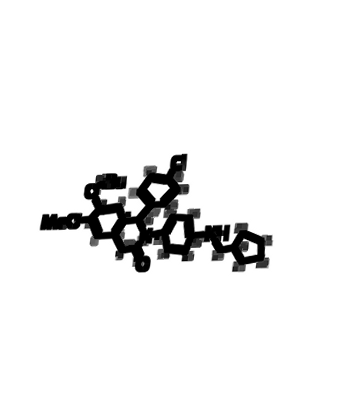 CCC(C)Oc1cc2c(cc1OC)CC(=O)N(c1ccc(NCC3CCCC3)cc1)C2c1ccc(Cl)cc1